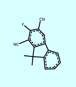 CC1(C)c2ccccc2-c2cc(C#N)c(F)c(C#N)c21